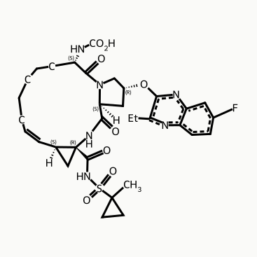 CCc1nc2ccc(F)cc2nc1O[C@@H]1C[C@H]2C(=O)N[C@]3(C(=O)NS(=O)(=O)C4(C)CC4)C[C@H]3C=CCCCCC[C@H](NC(=O)O)C(=O)N2C1